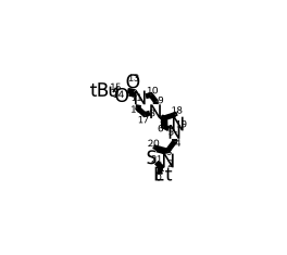 CCc1nc(Cn2cc(N3CCN(C(=O)OC(C)(C)C)CC3)cn2)cs1